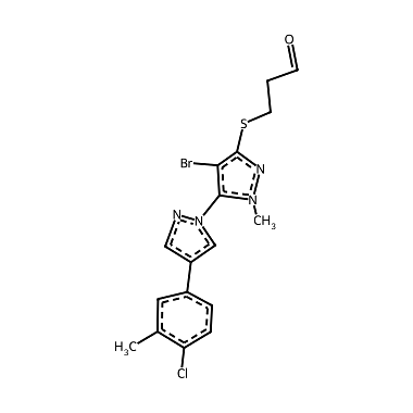 Cc1cc(-c2cnn(-c3c(Br)c(SCCC=O)nn3C)c2)ccc1Cl